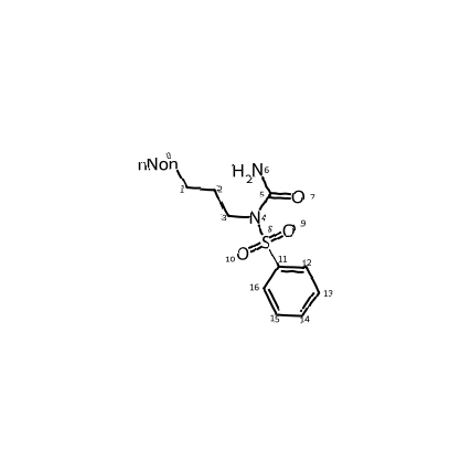 CCCCCCCCCCCCN(C(N)=O)S(=O)(=O)c1ccccc1